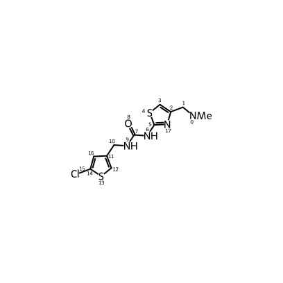 CNCc1csc(NC(=O)NCc2csc(Cl)c2)n1